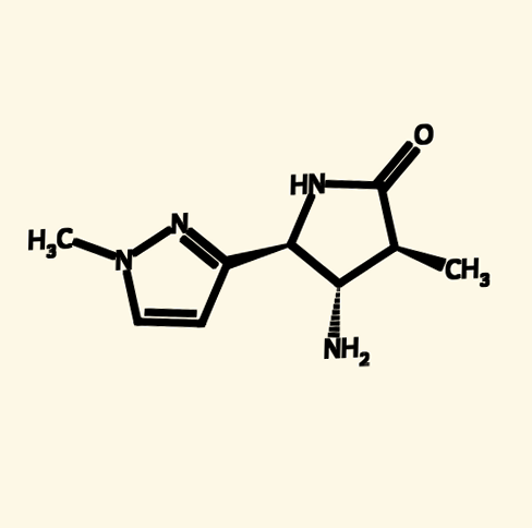 C[C@@H]1C(=O)N[C@H](c2ccn(C)n2)[C@H]1N